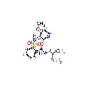 CCC(C)CNC(=O)c1ccccc1S(=O)(=O)Nc1cnccc1OC